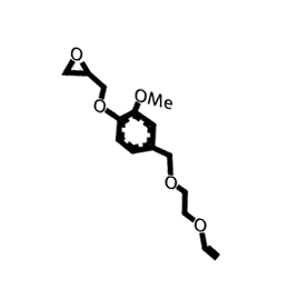 C=COCCOCc1ccc(OCC2CO2)c(OC)c1